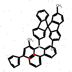 Cc1ccc2c(c1)C1(c3ccccc3-c3ccc(N(c4ccc(-c5ccccc5)cc4C)c4ccccc4-c4ccccc4)cc31)c1cc(C)ccc1-2